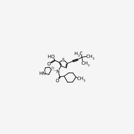 CC1CCC(C(=O)N(c2cc(C#CC(C)(C)C)sc2C(=O)O)[C@H]2CCNC2)CC1